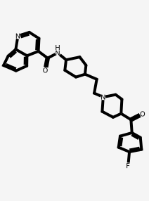 O=C(NC1CCC(CCN2CCC(C(=O)c3ccc(F)cc3)CC2)CC1)c1ccnc2ccccc12